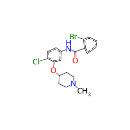 CN1CCC(Oc2cc(NC(=O)c3ccccc3Br)ccc2Cl)CC1